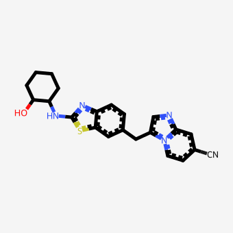 N#Cc1ccn2c(Cc3ccc4nc(NC5CCCCC5O)sc4c3)cnc2c1